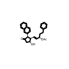 CC(=O)O[C@H](C=C[C@H]1[C@H](O)CC(=O)[C@H]1c1ccc2ccccc2c1)CCc1ccccc1